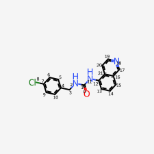 O=C(NCc1ccc(Cl)cc1)Nc1cccc2cnccc12